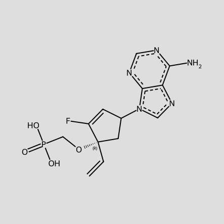 C=C[C@]1(OCP(=O)(O)O)CC(n2cnc3c(N)ncnc32)C=C1F